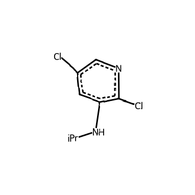 CC(C)Nc1cc(Cl)cnc1Cl